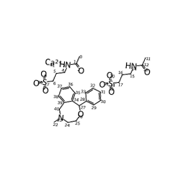 CC(=O)NCCCS(=O)(=O)[O-].CC(=O)NCCCS(=O)(=O)[O-].CN1CCOC(c2ccccc2)c2ccccc2C1.[Ca+2]